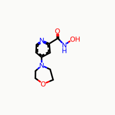 O=C(NO)c1cc(N2CCOCC2)ccn1